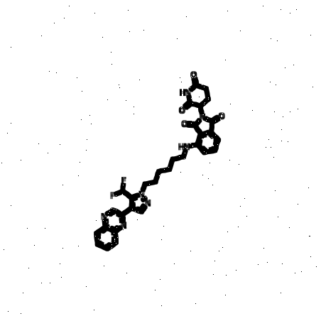 O=C1CCC(N2C(=O)c3cccc(NCCCCCCn4ncc(-c5cnc6ccccc6n5)c4C(F)F)c3C2=O)C(=O)N1